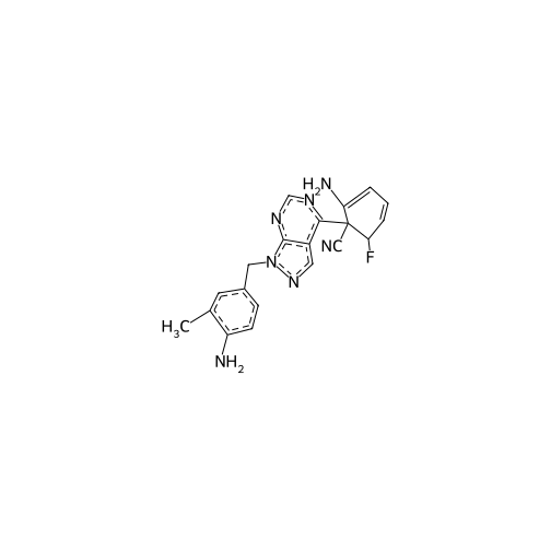 Cc1cc(Cn2ncc3c(C4(C#N)C(N)=CC=CC4F)ncnc32)ccc1N